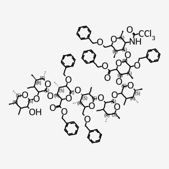 CC1C(O)[C@H](OC2C(C)[C@@H](C)[C@H](C)O[C@H]2O[C@H]2C(C(=O)OCc3ccccc3)O[C@@H](O[C@@H]3C(C)[C@H](OC4C(C)[C@@H](C)[C@H](C)O[C@H]4OC4C(C)[C@@H](C)[C@H](C)O[C@H]4O[C@H]4C(C(=O)OCc5ccccc5)O[C@@H](O[C@@H]5C(NC(=O)C(Cl)(Cl)Cl)[C@H](C)OC(COCc6ccccc6)[C@@H]5C)C(OCc5ccccc5)[C@H]4C)OC(COCc4ccccc4)[C@@H]3C)C(OCc3ccccc3)[C@H]2C)O[C@@H](C)[C@@H]1C